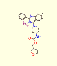 Cc1ccc2c(N3CCC(NC(=O)OCC4CCOC4)CC3)nc(-c3ccccc3P)nc2c1